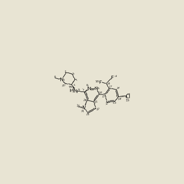 CN1CCC[C@@H](Nc2nnc(-c3ccc(Cl)cc3C(F)F)c3ccn(C)c23)C1